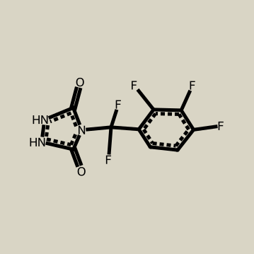 O=c1[nH][nH]c(=O)n1C(F)(F)c1ccc(F)c(F)c1F